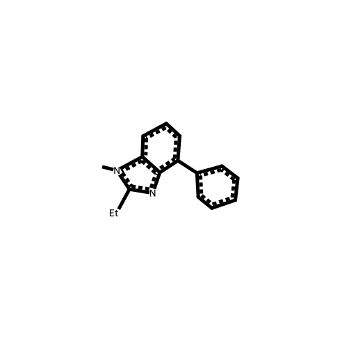 CCc1nc2c(-c3ccccc3)cccc2n1C